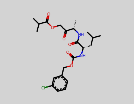 CC(C)C[C@H](NC(=O)OCc1cccc(Cl)c1)C(=O)N[C@@H](C)C(=O)COC(=O)C(C)C